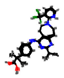 CC(C)c1nc2c(c(Nc3ccc(C(C)(C)C(=O)O)cc3)n1)CCN(c1ncccc1C(F)(F)F)CC2